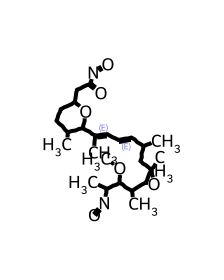 COC(C(C)N=O)C(C)C1OC1(C)CC(C)/C=C/C=C(\C)C1OC(CC(=O)N=O)CCC1C